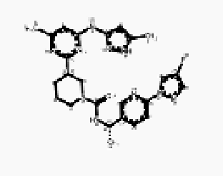 Cc1cc(Nc2cc(C)[nH]n2)nc([C@@H]2CCCN(C(=O)N[C@@H](C)c3ccc(-n4cc(F)cn4)nc3)C2)n1